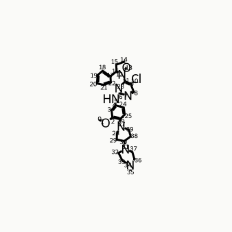 COc1cc(Nc2ncc(Cl)c(N3OCCC3c3ccccc3)n2)ccc1N1CCC(N2CCN(C)CC2)CC1